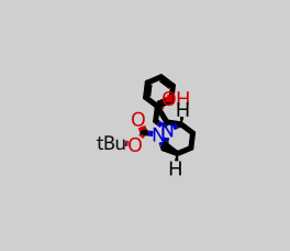 CC(C)(C)OC(=O)N1C[C@H]2CC[C@@H](C1CO)N(Cc1ccccc1)C2